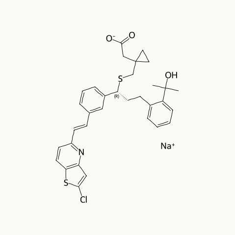 CC(C)(O)c1ccccc1CC[C@@H](SCC1(CC(=O)[O-])CC1)c1cccc(C=Cc2ccc3sc(Cl)cc3n2)c1.[Na+]